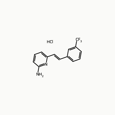 Cl.Nc1cccc(C=Cc2cccc(C(F)(F)F)c2)n1